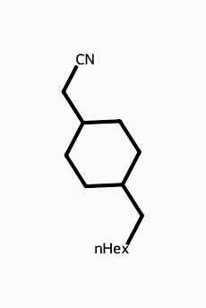 CCCCCCCC1CCC(CC#N)CC1